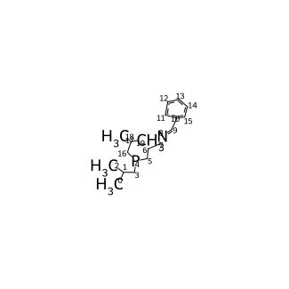 CC(C)CP(CCC/N=C/c1ccccc1)CC(C)C